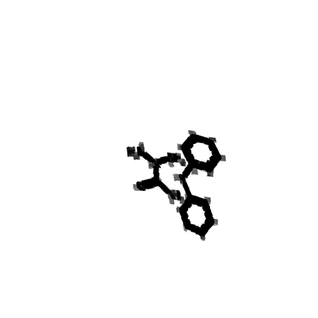 NC(=O)N(N)N.c1ccc(Sc2ccccc2)cc1